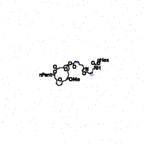 CCCCCCOC(=O)NC/C=C\c1nc(CC/C=C\C(=O)O[C@H]2CC3CC(=O)O[C@@H](CCCCC)CC4CCCC(C[C@@H](OC)CC(C2)O3)O4)co1